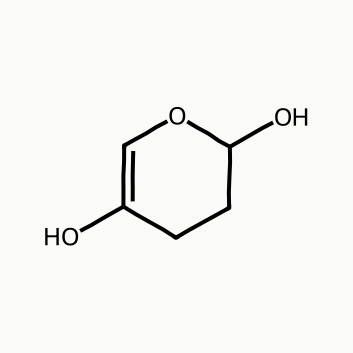 OC1=COC(O)CC1